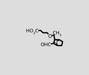 CC(OCCCC(=O)O)C1C2CCC(O2)C1C=O